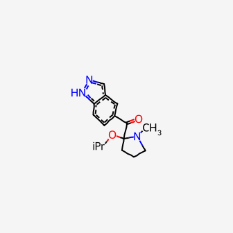 CC(C)OC1(C(=O)c2ccc3[nH]ncc3c2)CCCN1C